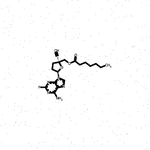 C#C[C@@]1(COC(=O)CCCCCC)CC[C@H](n2cnc3c(N)nc(F)nc32)O1